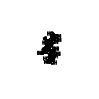 CC(C)=CCCC(C)(OC1OC(CO)C(O)C(O)C1O)C1CCC2(C)C1C(O)CC1C3(C)CCC(O)C(C)(C)C3C(OC3OC(CO)C(O)C(O)C3OC3OC(C)C(O)C(O)C3O)CC12C